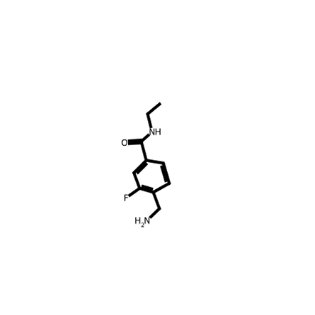 CCNC(=O)c1ccc(CN)c(F)c1